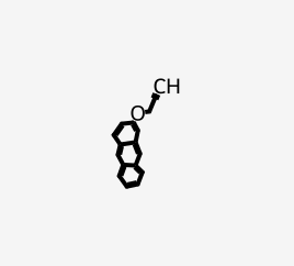 C#CCOc1ccc2cc3ccccc3cc2c1